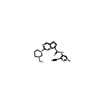 Cn1cc(NC(=O)c2ccc3cnc(N4CCC[C@H](N)C4)nn23)c(C#N)n1